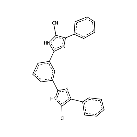 N#Cc1[nH]c(-c2cccc(-c3nc(-c4ccccc4)c(Cl)[nH]3)c2)nc1-c1ccccc1